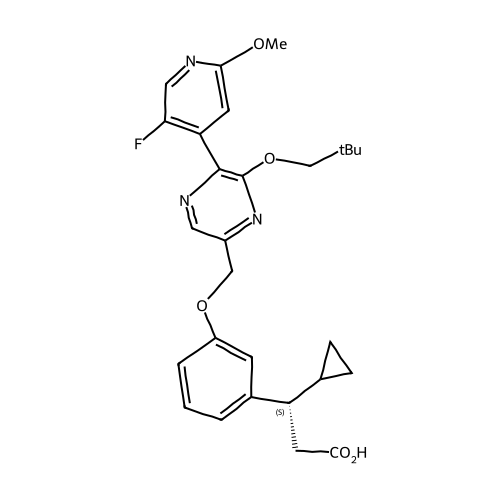 COc1cc(-c2ncc(COc3cccc([C@@H](CC(=O)O)C4CC4)c3)nc2OCC(C)(C)C)c(F)cn1